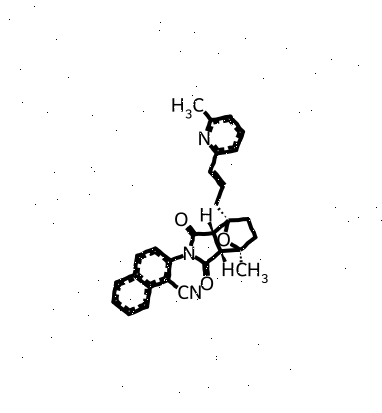 Cc1cccc(/C=C/C[C@]23CC[C@](C)(O2)[C@@H]2C(=O)N(c4ccc5ccccc5c4C#N)C(=O)[C@@H]23)n1